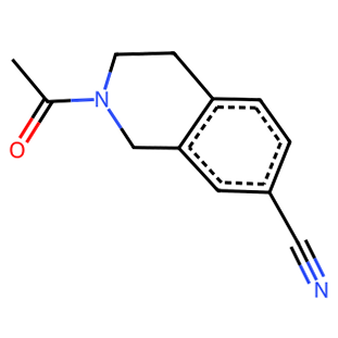 CC(=O)N1CCc2ccc(C#N)cc2C1